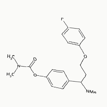 CNC(CCOc1ccc(F)cc1)c1ccc(OC(=O)N(C)C)cc1